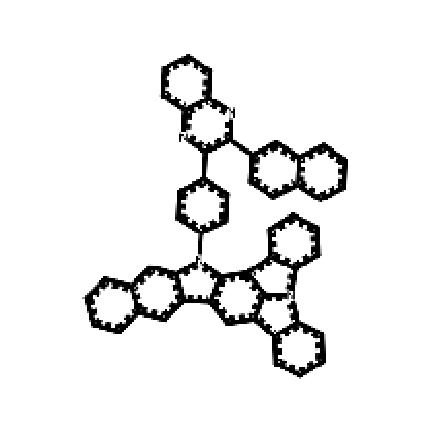 c1ccc2cc(-c3nc4ccccc4nc3-c3ccc(-n4c5cc6ccccc6cc5c5cc6c7ccccc7n7c8ccccc8c(c54)c67)cc3)ccc2c1